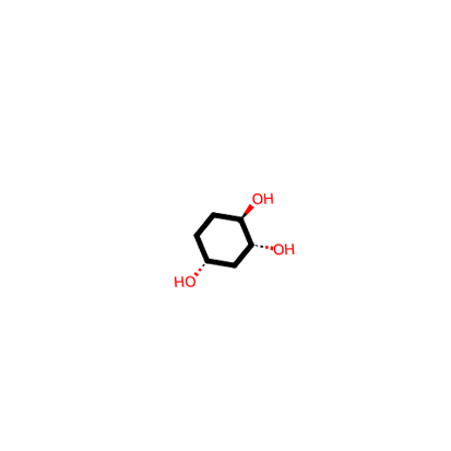 O[C@@H]1CC[C@@H](O)[C@H](O)C1